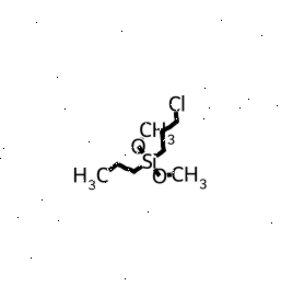 CCC[Si](CCCCl)(OC)OC